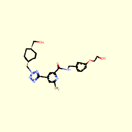 Cc1cc(-c2nnn(C[C@H]3CC[C@H](CO)CC3)n2)cc(C(=O)NCc2cccc(OCCO)c2)n1